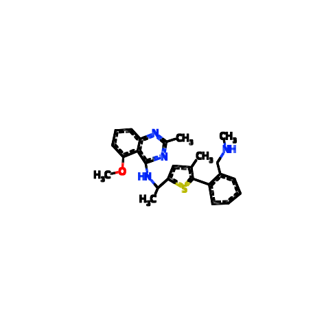 CNCc1ccccc1-c1sc(C(C)Nc2nc(C)nc3cccc(OC)c23)cc1C